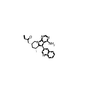 C=CC(=O)C[C@H]1C[C@@H](C)c2c(-c3cnc4ccccc4c3)c3c(N)ncnc3n2C1